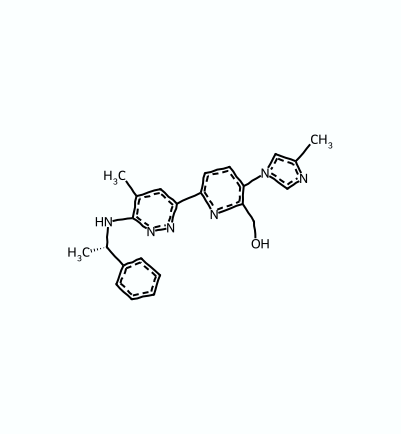 Cc1cn(-c2ccc(-c3cc(C)c(N[C@@H](C)c4ccccc4)nn3)nc2CO)cn1